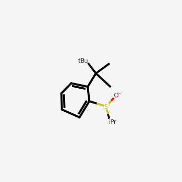 CC(C)[S+]([O-])c1ccccc1C(C)(C)C(C)(C)C